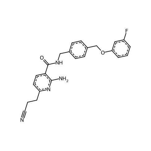 N#CCCc1ccc(C(=O)NCc2ccc(COc3cccc(F)c3)cc2)c(N)n1